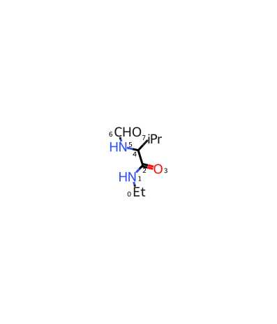 CCNC(=O)C(NC=O)C(C)C